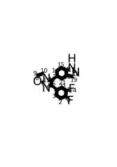 Fc1ccc(-c2nc3occn3c2-c2ccc3[nH]ncc3c2)cc1F